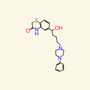 O=C1CSc2ccc(C(O)CCCCN3CCN(c4ccccc4)CC3)cc2N1